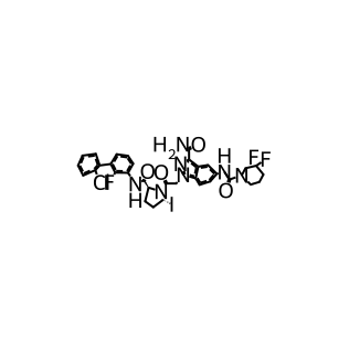 NC(=O)c1nn(CC(=O)N2[C@H](I)CC[C@H]2C(=O)Nc2cccc(-c3ccccc3Cl)c2F)c2ccc(NC(=O)N3CCCC(F)(F)C3)cc12